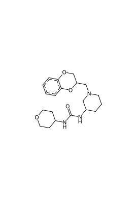 O=C(NC1CCOCC1)NC1CCCN(CC2COc3ccccc3O2)C1